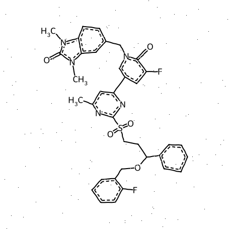 Cc1cc(-c2cc(F)c(=O)n(Cc3ccc4c(c3)n(C)c(=O)n4C)c2)nc(S(=O)(=O)CCC(OCc2ccccc2F)c2ccccc2)n1